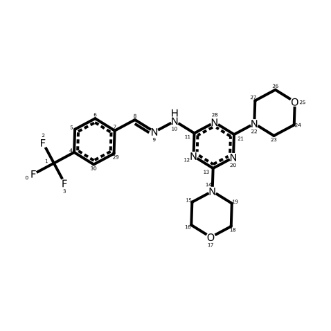 FC(F)(F)c1ccc(C=NNc2nc(N3CCOCC3)nc(N3CCOCC3)n2)cc1